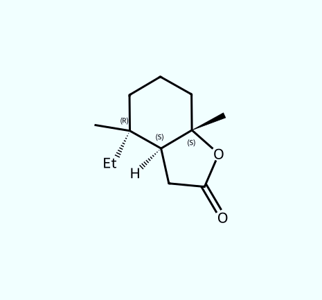 CC[C@]1(C)CCC[C@]2(C)OC(=O)C[C@@H]12